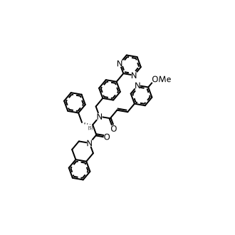 COc1ccc(C=CC(=O)N(Cc2ccc(-c3ncccn3)cc2)[C@@H](Cc2ccccc2)C(=O)N2CCc3ccccc3C2)cn1